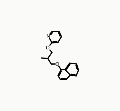 CC([CH]Oc1cccc2ccccc12)COc1ccccn1